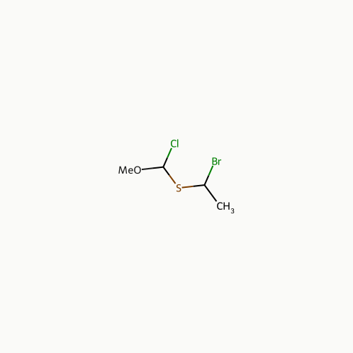 COC(Cl)SC(C)Br